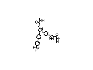 CNC(=O)CCc1cc(-c2ccc(-c3ccc(C(F)(F)F)cc3)cc2)n(-c2ccc(-n3cc(C(=O)NC)nn3)cc2)n1